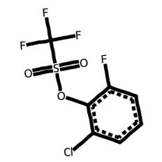 O=S(=O)(Oc1c(F)cccc1Cl)C(F)(F)F